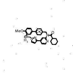 COc1ccc(C23CCC(CN(C(=O)C4CCCCC4)c4cc(-c5ccn(C(C)(C)C)n5)ccn4)(CC2)CC3)cc1C